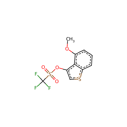 COc1cccc2scc(OS(=O)(=O)C(F)(F)F)c12